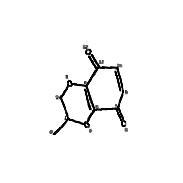 CC1COC2=C(O1)C(=O)C=CC2=O